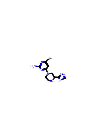 CC(C)c1cc(N2CCNC(c3nnc[nH]3)C2)nc(N)n1